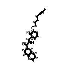 CCC#CCCCCOc1cccc(CNC(=O)c2ccc3ncccc3c2)c1F